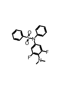 CN(C)c1c(F)cc(N(c2ccccc2)S(=O)(=O)c2ccccc2)cc1F